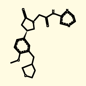 COc1ccc([C@@H]2CC(=O)N(CC(=O)Nc3cnccn3)C2)cc1CC1CCOC1